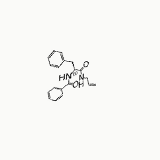 C=CCNC(=O)[C@H](Cc1ccccc1)NC(=O)c1ccccc1